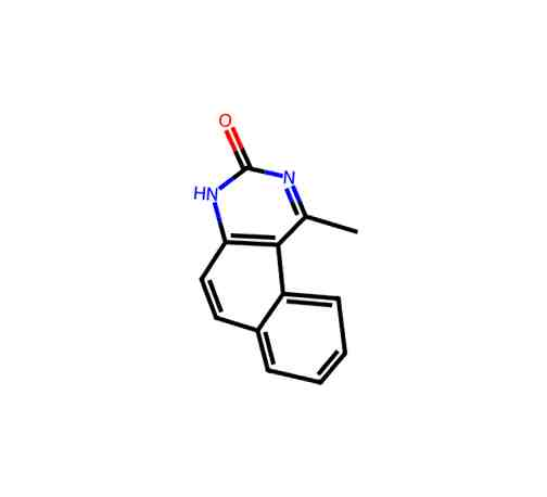 Cc1nc(=O)[nH]c2ccc3ccccc3c12